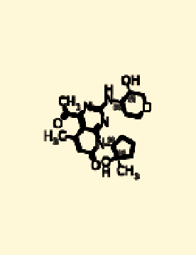 CC(=O)c1nc(N[C@@H]2CCOC[C@H]2O)nc2c1c(C)cc(=O)n2[C@@H]1CCC[C@@]1(C)O